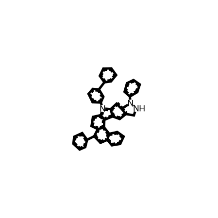 c1ccc(-c2cccc(-n3c4cc5c(cc4c4c6c(ccc43)c(-c3ccccc3)cc3ccccc36)CNN5c3ccccc3)c2)cc1